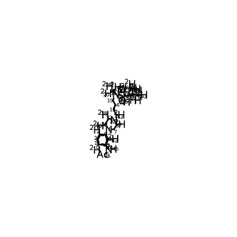 [2H]c1cc([2H])c(N2CC([2H])N(C([2H])CCCN(C([2H])([2H])[2H])S(=O)(=O)C([2H])([2H])C([2H])(C([2H])([2H])[2H])C([2H])([2H])[2H])C([2H])C2[2H])c([2H])c1N([2H])C(C)=O